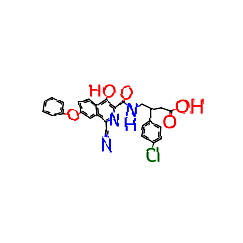 N#Cc1nc(C(=O)NCC(CC(=O)O)c2ccc(Cl)cc2)c(O)c2ccc(Oc3ccccc3)cc12